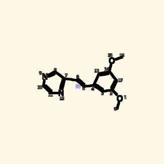 COc1cc(/C=C/c2cnccn2)cc(OC)c1